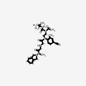 Cc1cc(C#N)ccc1N(CCN(C(=O)OC(C)(C)C)C(C)C)C(=O)CNCC(=O)N(C)N1Cc2ccccc2C1